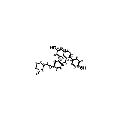 CN1CCCC(COc2ccc(Cc3c(-c4ccc(O)cc4)ccc4cc(O)ccc34)cc2)C1